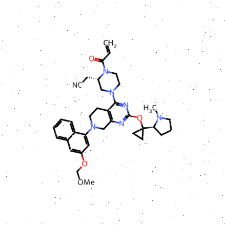 C=CC(=O)N1CCN(c2nc(OC3([C@@H]4CCCN4C)CC3)nc3c2CCN(c2cc(OCOC)cc4ccccc24)C3)C[C@@H]1CC#N